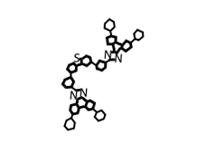 c1cc(-c2ccc3sc4ccc(-c5cccc(-c6cnc7c8ccc(C9CCCCC9)cc8c8cc(C9CCCCC9)ccc8c7n6)c5)cc4c3c2)cc(-c2cnc3c4ccc(C5CCCCC5)cc4c4cc(C5CCCCC5)ccc4c3n2)c1